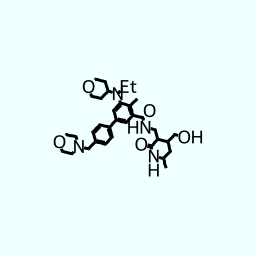 CCN(c1cc(-c2ccc(CN3CCOCC3)cc2)cc(C(=O)NCC2C(=O)NC(C)CC2CO)c1C)C1CCOCC1